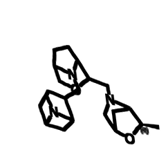 C[C@H]1OC2CC1N(CC1OCC3CCC1N3CC1CCC3CC1N3C)C2